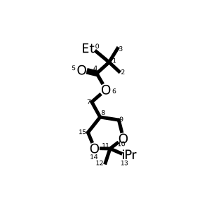 CCC(C)(C)C(=O)OCC1COC(C)(C(C)C)OC1